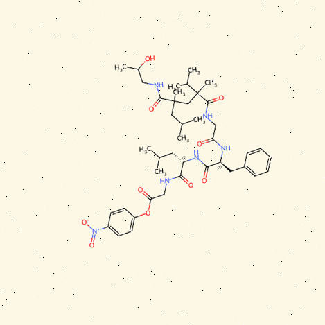 CC(C)C[C@H](NC(=O)[C@H](Cc1ccccc1)NC(=O)CNC(=O)C(C)(CC(C)(CC(C)C)C(=O)NCC(C)O)C(C)C)C(=O)NCC(=O)Oc1ccc([N+](=O)[O-])cc1